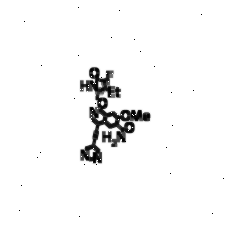 CC[C@@H]1[C@H](F)C(=O)N[C@@H]1COc1ncc(C#Cc2cncnc2)c2cc(C(N)=O)c(OC)cc12